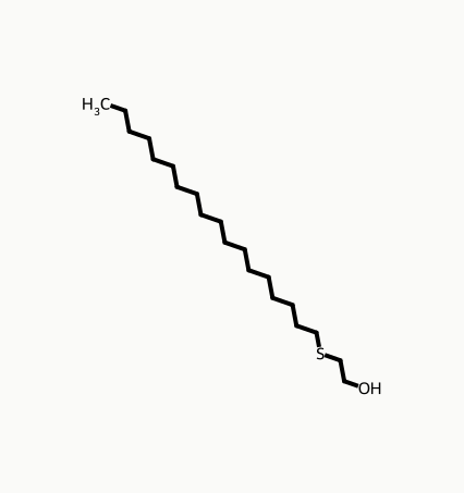 CCCCCCCCCCCCCCCCCCSCCO